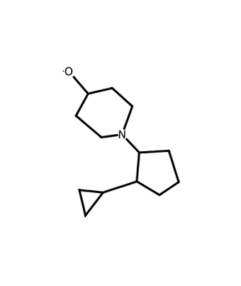 [O]C1CCN(C2CCCC2C2CC2)CC1